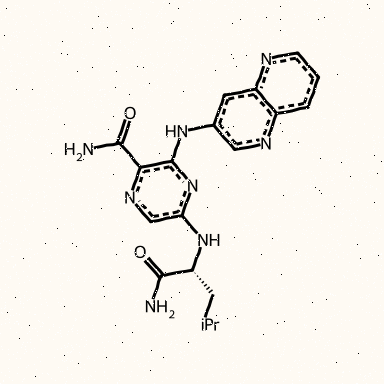 CC(C)C[C@@H](Nc1cnc(C(N)=O)c(Nc2cnc3cccnc3c2)n1)C(N)=O